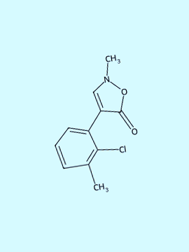 Cc1cccc(-c2cn(C)oc2=O)c1Cl